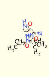 CC(C)CCC(=O)N[C@@H](CC(C)(C)C)C(=O)N[C@H](C#N)C[C@@H]1CCCNC1=O